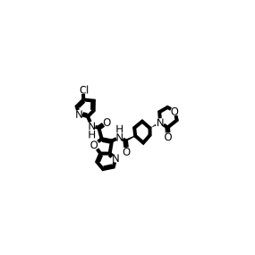 O=C(Nc1ccc(Cl)cn1)c1oc2cccnc2c1NC(=O)[C@H]1CC[C@H](N2CCOCC2=O)CC1